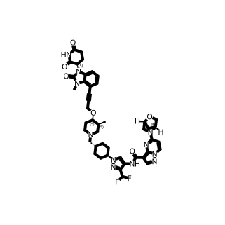 C[C@H]1CN(C[C@H]2CC[C@H](n3cc(NC(=O)c4cnn5ccc(N6C[C@H]7C[C@@H]6CO7)nc45)c(C(F)F)n3)CC2)CC[C@@H]1OCC#Cc1cccc2c1n(C)c(=O)n2[C@H]1CCC(=O)NC1=O